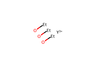 CC[O-].CC[O-].CC[O-].[Y+3]